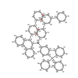 c1ccc(-c2ccc(-c3c(N(c4ccc(-c5cccc(-c6ccccc6)c5)cc4)c4ccc5c(c4)-c4ccccc4C5(c4ccccc4)c4ccccc4)c4ccccc4c4ccccc34)cc2)cc1